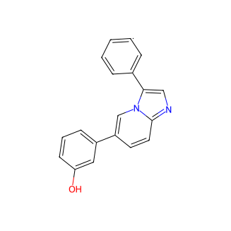 Oc1cccc(-c2ccc3ncc(-c4c[c]ccc4)n3c2)c1